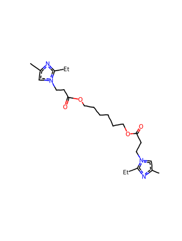 CCc1nc(C)cn1CCC(=O)OCCCCCCOC(=O)CCn1cc(C)nc1CC